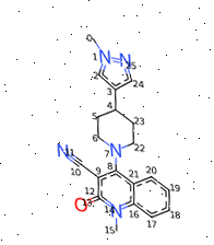 Cn1cc(C2CCN(c3c(C#N)c(=O)n(C)c4ccccc34)CC2)cn1